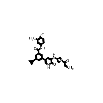 C=CC(=O)N1CC(Nc2cc(-c3cc(C(=O)Nc4ccc(C(C)C)c(C)c4)cc(C4CC4)c3)c[nH]c2=O)C1